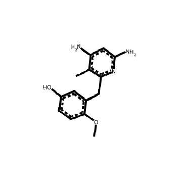 COc1ccc(O)cc1Cc1nc(N)cc(N)c1C